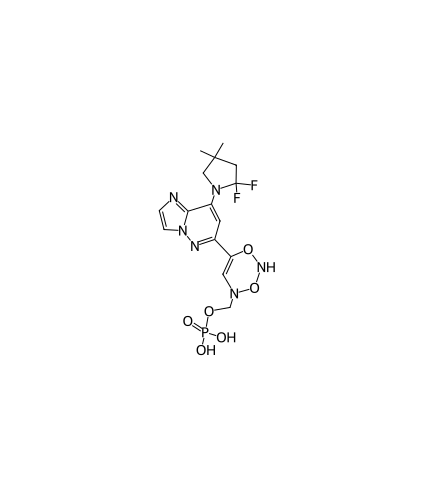 CC1(C)CN(c2cc(-c3cn(COP(=O)(O)O)o[nH]o3)nn3ccnc23)C(F)(F)C1